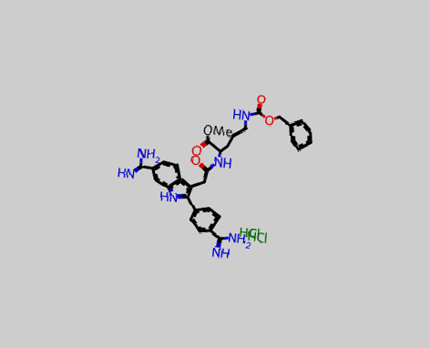 COC(=O)C(CCCNC(=O)OCc1ccccc1)NC(=O)Cc1c(-c2ccc(C(=N)N)cc2)[nH]c2cc(C(=N)N)ccc12.Cl.Cl